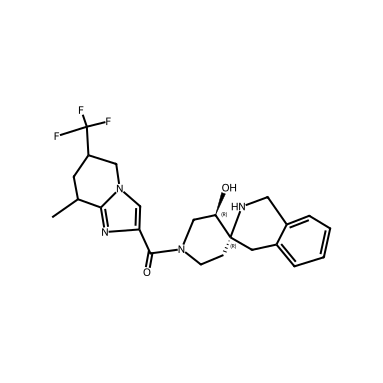 CC1CC(C(F)(F)F)Cn2cc(C(=O)N3CC[C@]4(Cc5ccccc5CN4)[C@H](O)C3)nc21